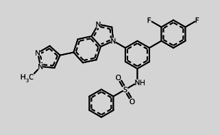 Cn1cc(-c2ccc3c(c2)ncn3-c2cc(NS(=O)(=O)c3ccccc3)cc(-c3ccc(F)cc3F)c2)cn1